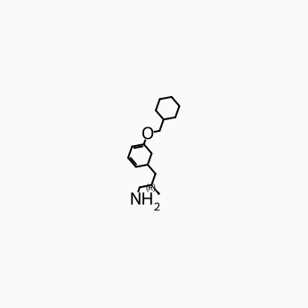 C[C@@H](CN)CC1C=CC=C(OCC2CCCCC2)C1